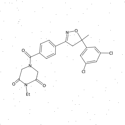 CCN1C(=O)CN(C(=O)c2ccc(C3=NOC(C)(c4cc(Cl)cc(Cl)c4)C3)cc2)CC1=O